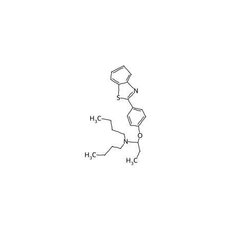 CCCCN(CCCC)C(CC)Oc1ccc(-c2nc3ccccc3s2)cc1